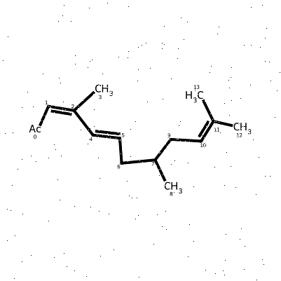 CC(=O)C=C(C)C=CCC(C)CC=C(C)C